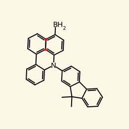 Bc1ccc(N(c2ccc3c(c2)C(C)(C)c2ccccc2-3)c2ccccc2-c2ccccc2)cc1